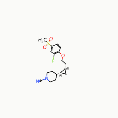 CS(=O)(=O)c1ccc(OCC[C@@H]2C[C@@H]2C2CCN(C#N)CC2)c(F)c1